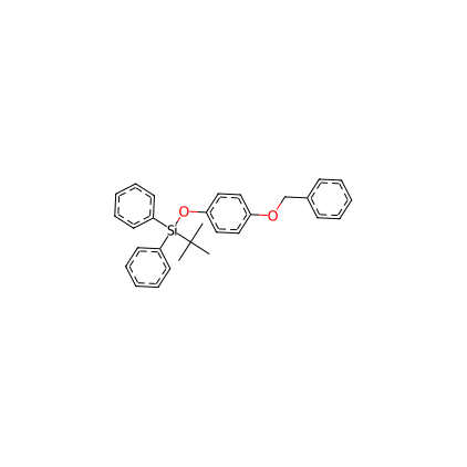 CC(C)(C)[Si](Oc1ccc(OCc2ccccc2)cc1)(c1ccccc1)c1ccccc1